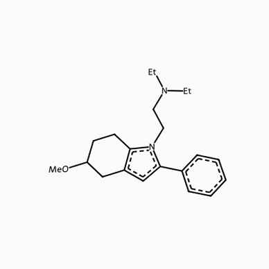 CCN(CC)CCn1c(-c2ccccc2)cc2c1CCC(OC)C2